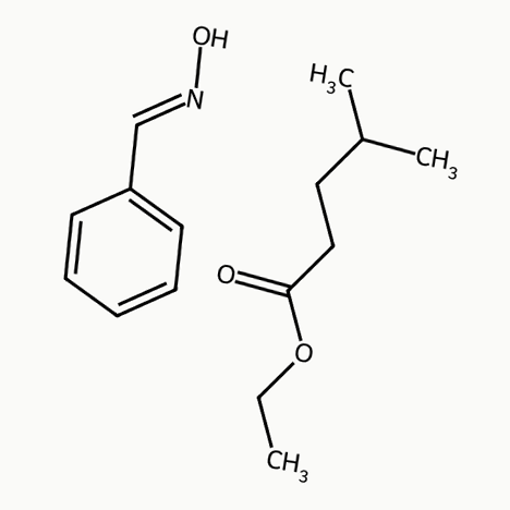 CCOC(=O)CCC(C)C.ON=Cc1ccccc1